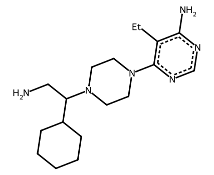 CCc1c(N)ncnc1N1CCN(C(CN)C2CCCCC2)CC1